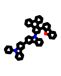 c1ccc(-n2c3ccccc3c3cc(-c4ccc5c(c4)c4ccccc4n5-c4cc(-c5cccc6c5oc5ccccc56)c5c6ccccc6c6ccccc6c5c4)ccc32)cc1